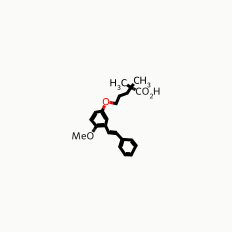 COc1ccc(OCCCC(C)(C)C(=O)O)cc1/C=C/c1ccccc1